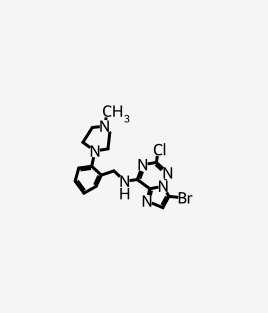 CN1CCN(c2ccccc2CNc2nc(Cl)nn3c(Br)cnc23)CC1